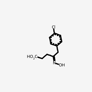 O=C(O)CC/C(Cc1ccc(Cl)cc1)=N/O